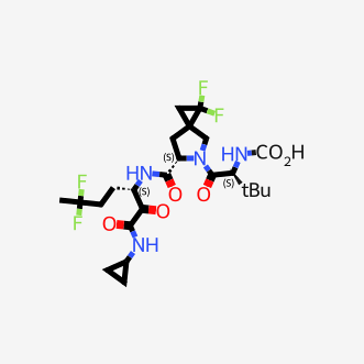 CC(F)(F)CC[C@H](NC(=O)[C@@H]1CC2(CN1C(=O)[C@@H](NC(=O)O)C(C)(C)C)CC2(F)F)C(=O)C(=O)NC1CC1